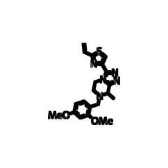 C=Cc1nc(-c2nnc3n2CCN(Cc2ccc(OC)cc2OC)C3C)cs1